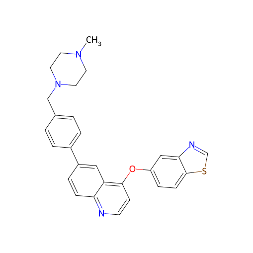 CN1CCN(Cc2ccc(-c3ccc4nccc(Oc5ccc6scnc6c5)c4c3)cc2)CC1